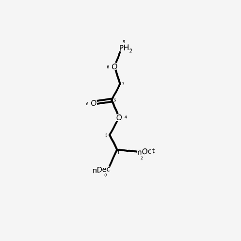 CCCCCCCCCCC(CCCCCCCC)COC(=O)COP